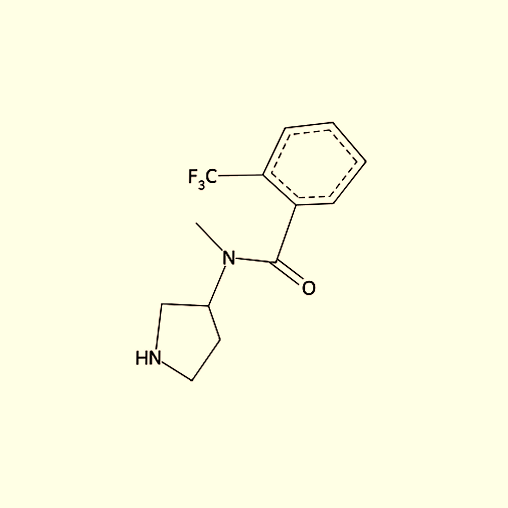 CN(C(=O)c1ccccc1C(F)(F)F)C1CCNC1